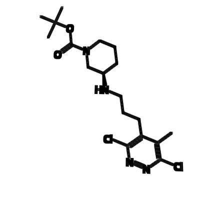 Cc1c(Cl)nnc(Cl)c1CCCN[C@@H]1CCCN(C(=O)OC(C)(C)C)C1